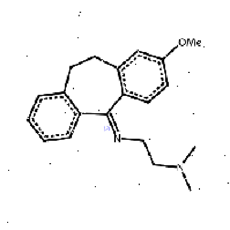 COc1ccc2c(c1)CCc1ccccc1/C2=N/CCN(C)C